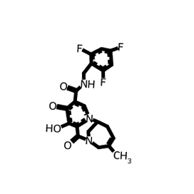 CC1=CCC2CN(C1)C(=O)c1c(O)c(=O)c(C(=O)NCc3c(F)cc(F)cc3F)cn12